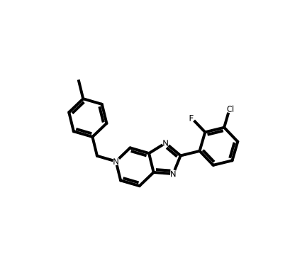 Cc1ccc(Cn2ccc3nc(-c4cccc(Cl)c4F)nc-3c2)cc1